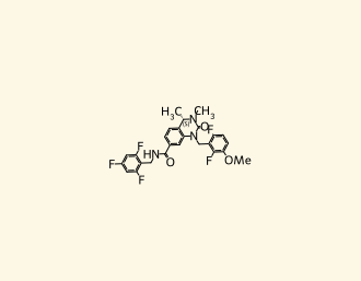 COc1ccc(F)c(CN2C(=O)N(C)[C@@H](C)c3ccc(C(=O)NCc4c(F)cc(F)cc4F)cc32)c1F